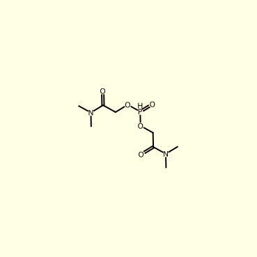 CN(C)C(=O)CO[PH](=O)OCC(=O)N(C)C